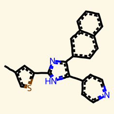 Cc1csc(-c2nc(-c3ccc4ccccc4c3)c(-c3ccncc3)[nH]2)c1